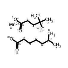 CC(C)(C)CCC(=O)[O-].CC(C)CCCCC(=O)[O-].[Mn+2]